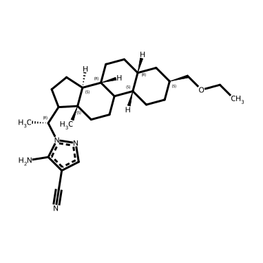 CCOC[C@H]1CC[C@@H]2C3CC[C@]4(C)C([C@@H](C)n5ncc(C#N)c5N)CC[C@H]4[C@@H]3CC[C@@H]2C1